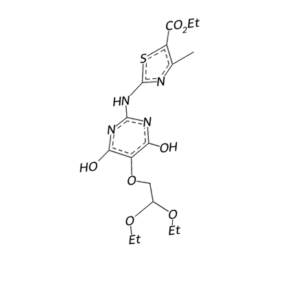 CCOC(=O)c1sc(Nc2nc(O)c(OCC(OCC)OCC)c(O)n2)nc1C